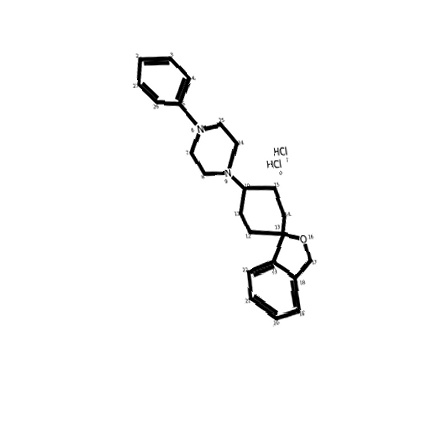 Cl.Cl.c1ccc(N2CCN(C3CCC4(CC3)OCc3ccccc34)CC2)cc1